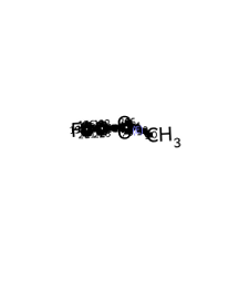 CCC/C=C/C1COC(C#Cc2ccc(-c3ccc(F)cc3)cc2)OC1